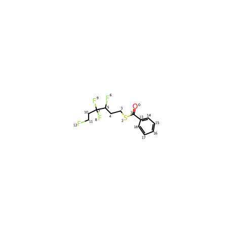 O=C(SCCC(F)C(F)(F)CCF)c1ccccc1